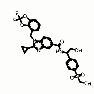 CCS(=O)(=O)c1ccc(C(CO)NC(=O)c2ccc3c(c2)nc(C2CC2)n3Cc2cccc3c2OC(F)(F)O3)cc1